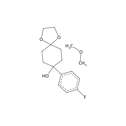 COC.OC1(c2ccc(F)cc2)CCC2(CC1)OCCO2